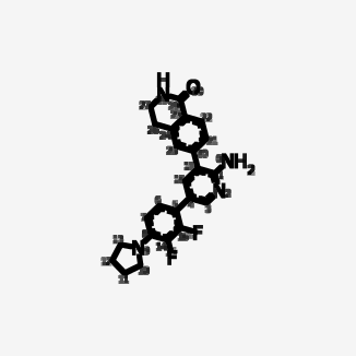 Nc1ncc(-c2ccc(N3CCCC3)c(F)c2F)cc1-c1ccc2c(c1)CCNC2=O